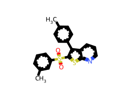 Cc1ccc(-c2c(S(=O)(=O)c3cccc(C)c3)sc3ncccc23)cc1